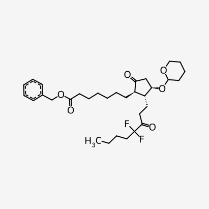 CCCCC(F)(F)C(=O)CC[C@H]1[C@H](OC2CCCCO2)CC(=O)[C@@H]1CCCCCCC(=O)OCc1ccccc1